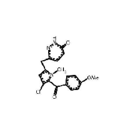 COc1ccc(C(=O)c2c(Cl)cc(Cc3ccc(=O)[nH]n3)n2C)cc1